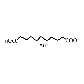 CCCCCCCCCCCCCCCCCC(=O)[O-].[Au+]